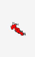 Cc1ncsc1-c1ccc(C(C)NC(=O)[C@@H]2C[C@@H](O)CN2C(=O)C(NC(=O)CCCNC(=O)CC(=O)N2CCN(C(=O)C(NC(=O)c3cc4cc(C(F)(F)P(=O)(O)O)ccc4s3)C(C)(C)C)[C@H](C(=O)N3CCO[C@H](c4ccccc4)C3)C2)C(C)(C)C)cc1